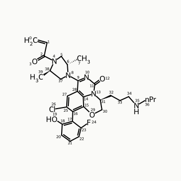 C=CC(=O)N1C[C@H](C)N(c2nc(=O)n3c4c(c(-c5c(O)cccc5F)c(Cl)cc24)OC[C@@H]3CCCNCCC)C[C@H]1C